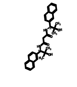 CC(C)(O)[C@H](NC(=O)CC(=O)N[C@H](c1ccc2ccccc2c1)C(C)(C)O)c1ccc2ccccc2c1